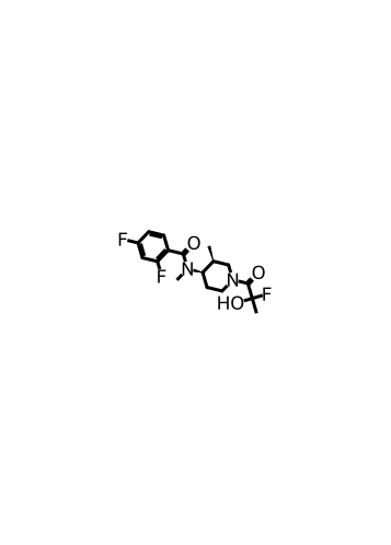 C[C@H]1CN(C(=O)C(C)(O)F)CC[C@H]1N(C)C(=O)c1ccc(F)cc1F